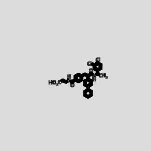 CC(NC(=O)C(Cc1ccc(C(=O)NCCC(=O)O)cc1)c1ccc(C2CCCCC2)cc1)c1ccc(Cl)c(Cl)c1